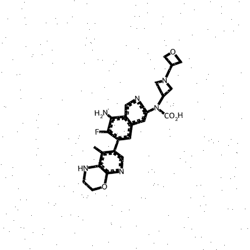 Cc1c(-c2cc3cc(N(C(=O)O)C4CN(C5COC5)C4)ncc3c(N)c2F)cnc2c1NCCO2